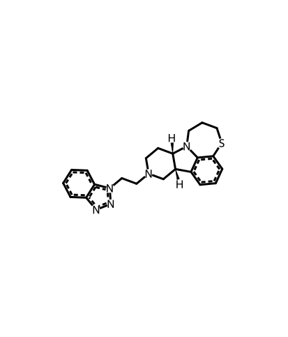 c1cc2c3c(c1)[C@@H]1CN(CCn4nnc5ccccc54)CC[C@@H]1N3CCCS2